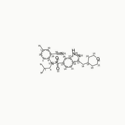 Cc1ccc(N(CC(C)C)S(=O)(=O)c2ccc3c(CC4CCOCC4)n[nH]c3c2)c(C#N)c1